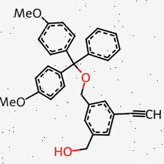 C#Cc1cc(CO)cc(COC(c2ccccc2)(c2ccc(OC)cc2)c2ccc(OC)cc2)c1